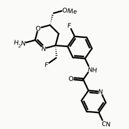 COC[C@@H]1C[C@@](CF)(c2cc(NC(=O)c3ccc(C#N)cn3)ccc2F)N=C(N)O1